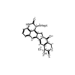 CCCCCCCN1C(=O)Nc2cccc3nc4c(c1c23)Cn1c-4cc2c(c1=O)COC(=O)[C@]2(O)CC